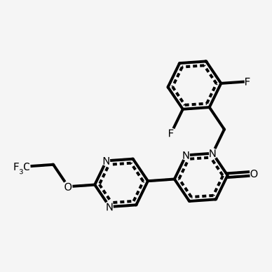 O=c1ccc(-c2cnc(OCC(F)(F)F)nc2)nn1Cc1c(F)cccc1F